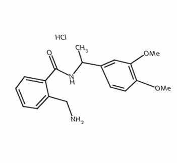 COc1ccc(C(C)NC(=O)c2ccccc2CN)cc1OC.Cl